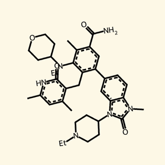 CCN1CCC(n2c(=O)n(C)c3ccc(-c4cc(C(N)=O)c(C)c(N(CC)C5CCOCC5)c4Cc4c(C)cc(C)[nH]c4=O)cc32)CC1